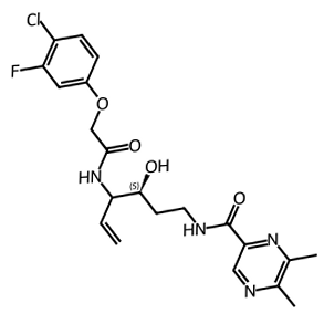 C=CC(NC(=O)COc1ccc(Cl)c(F)c1)[C@@H](O)CCNC(=O)c1cnc(C)c(C)n1